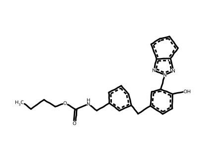 CCCCOC(=O)NCc1cccc(Cc2ccc(O)c(-n3nc4ccccc4n3)c2)c1